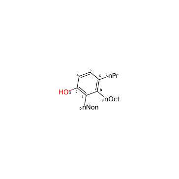 CCCCCCCCCc1c(O)ccc(CCC)c1CCCCCCCC